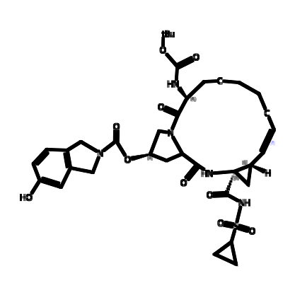 CC(C)(C)OC(=O)N[C@H]1CCCCC/C=C\[C@@H]2C[C@@]2(C(=O)NS(=O)(=O)C2CC2)NC(=O)C2C[C@@H](OC(=O)N3Cc4ccc(O)cc4C3)CN2C1=O